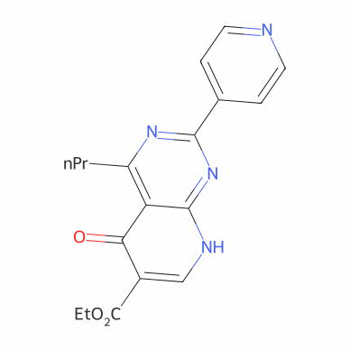 CCCc1nc(-c2ccncc2)nc2[nH]cc(C(=O)OCC)c(=O)c12